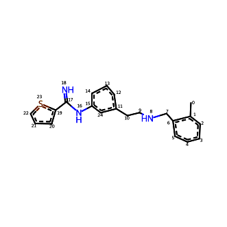 Cc1ccccc1CNCCc1cccc(NC(=N)c2cccs2)c1